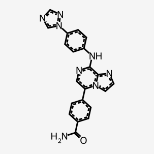 NC(=O)c1ccc(-c2cnc(Nc3ccc(-n4cncn4)cc3)c3nccn23)cc1